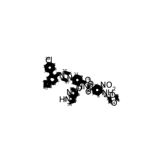 O=C(NS(=O)(=O)c1ccc(NC[C@H]2COCCO2)c([N+](=O)[O-])c1)c1ccc(N2CCN(CC3=C(c4ccc(Cl)cc4)CC4(CCC4)CC3)CC2)cc1Oc1cnc2[nH]ccc2c1